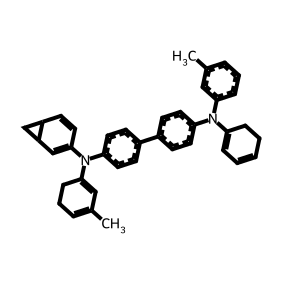 CC1=CCCC(N(C2=CC3CC3C=C2)c2ccc(-c3ccc(N(C4=CC=CCC4)c4cccc(C)c4)cc3)cc2)=C1